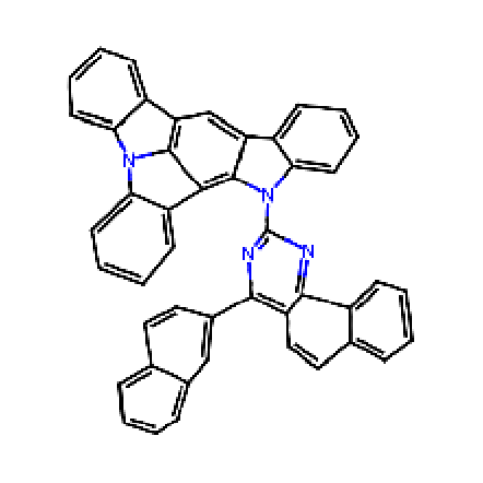 c1ccc2cc(-c3nc(-n4c5ccccc5c5cc6c7ccccc7n7c8ccccc8c(c54)c67)nc4c3ccc3ccccc34)ccc2c1